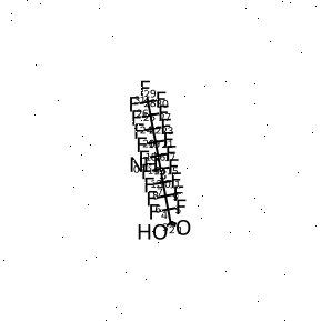 N.O=C(O)C(F)(F)C(F)(F)C(F)(F)C(F)(F)C(F)(F)C(F)(F)C(F)(F)C(F)(F)C(F)(F)F